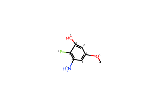 COc1cc(N)c(F)c(O)c1